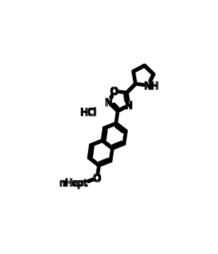 CCCCCCCOc1ccc2cc(-c3noc(C4CCCN4)n3)ccc2c1.Cl